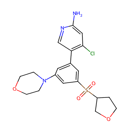 Nc1cc(Cl)c(-c2cc(N3CCOCC3)cc(S(=O)(=O)C3CCOC3)c2)cn1